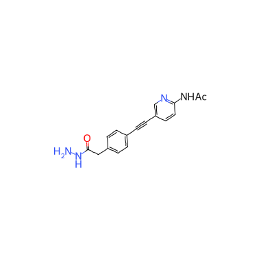 CC(=O)Nc1ccc(C#Cc2ccc(CC(=O)NN)cc2)cn1